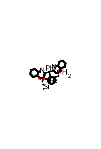 CC(C)(C)[C]12[C]3(C(P)(c4ccc5ccccc5n4)c4ccc5ccccc5n4)[C]4(CP)[CH]5[C]1([Si](C)(C)C)[Fe]54321678[CH]2[CH]1[CH]6[CH]7[CH]28